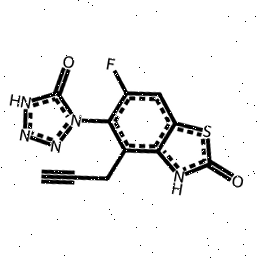 C#CCc1c(-n2nn[nH]c2=O)c(F)cc2sc(=O)[nH]c12